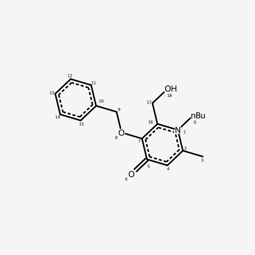 CCCCn1c(C)cc(=O)c(OCc2ccccc2)c1CO